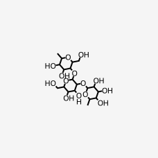 CC1OC(OC2C(OC3C(CO)OC(C)C(O)C3O)OC(CO)C(O)C2O)C(O)C(O)C1O